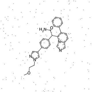 COCCn1cc(-c2ccc(C(C(N)=O)c3c(-c4ccccc4)ccc4cncn34)cc2)cn1